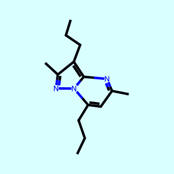 CCCc1c(C)nn2c(CCC)cc(C)nc12